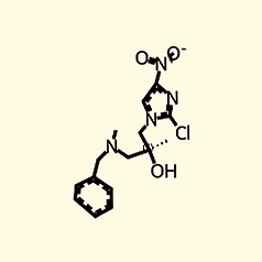 CN(Cc1ccccc1)C[C@](C)(O)Cn1cc([N+](=O)[O-])nc1Cl